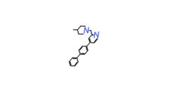 CC1CCN(Cc2cc(-c3ccc(-c4ccccc4)cc3)ccn2)CC1